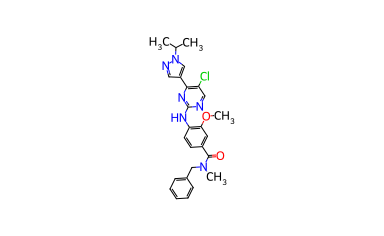 COc1cc(C(=O)N(C)Cc2ccccc2)ccc1Nc1ncc(Cl)c(-c2cnn(C(C)C)c2)n1